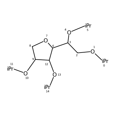 CC(C)OCC(OC(C)C)C1OCC(OC(C)C)C1OC(C)C